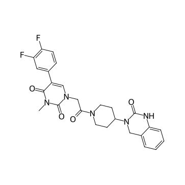 Cn1c(=O)c(-c2ccc(F)c(F)c2)cn(CC(=O)N2CCC(N3Cc4ccccc4NC3=O)CC2)c1=O